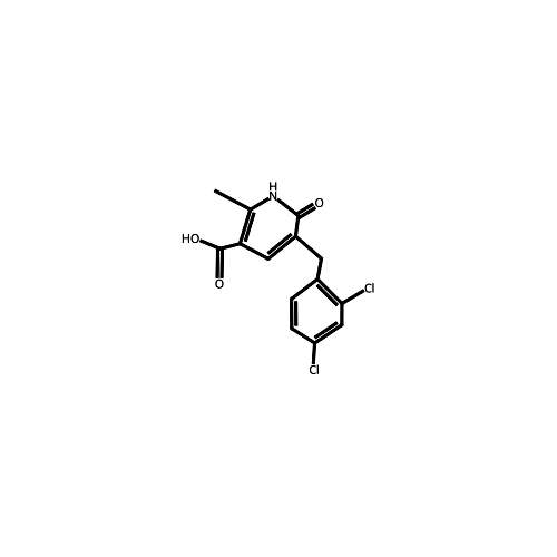 Cc1[nH]c(=O)c(Cc2ccc(Cl)cc2Cl)cc1C(=O)O